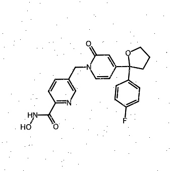 O=C(NO)c1ccc(Cn2ccc(C3(c4ccc(F)cc4)CCCO3)cc2=O)cn1